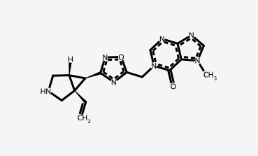 C=C[C@@]12CNC[C@@H]1[C@H]2c1noc(Cn2cnc3ncn(C)c3c2=O)n1